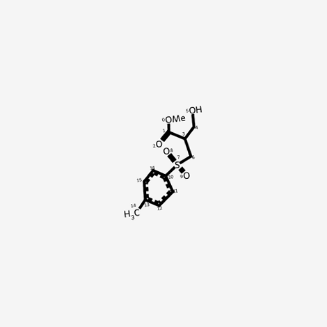 COC(=O)C(CO)CS(=O)(=O)c1ccc(C)cc1